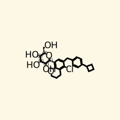 OC[C@H]1O[C@@H](c2cc(Cc3ccc(C4CCC4)cc3)c(Cl)c3c2OCCC3)[C@H](O)[C@@H](O)[C@@H]1O